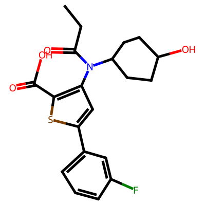 CCC(=O)N(c1cc(-c2cccc(F)c2)sc1C(=O)O)C1CCC(O)CC1